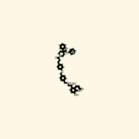 O=C(CCc1ccc(OCc2ccc(CNCC(O)c3ccc(O)c4[nH]c(=O)ccc34)cc2)cc1)N1CCC(C(=O)OC2CN3CCC2CC3)(c2ccccc2)CC1